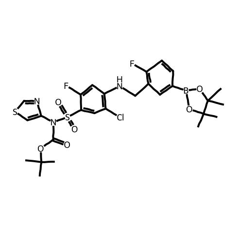 CC(C)(C)OC(=O)N(c1cscn1)S(=O)(=O)c1cc(Cl)c(NCc2cc(B3OC(C)(C)C(C)(C)O3)ccc2F)cc1F